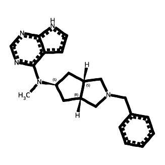 CN(c1ncnc2[nH]ccc12)[C@H]1C[C@@H]2CN(Cc3ccccc3)C[C@@H]2C1